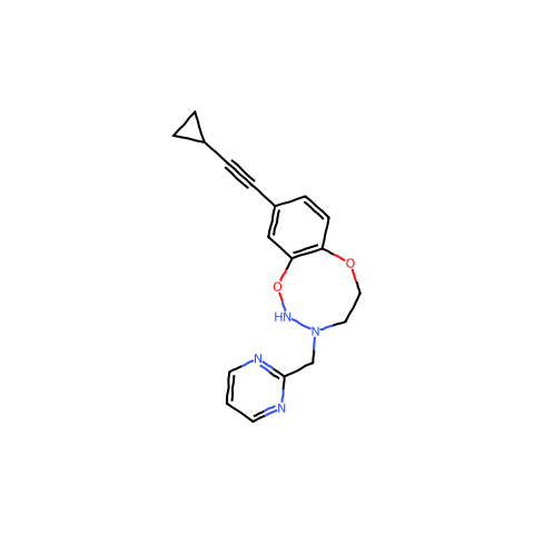 C(#CC1CC1)c1ccc2c(c1)ONN(Cc1ncccn1)CCO2